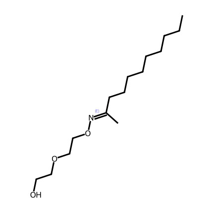 CCCCCCCCC/C(C)=N/OCCOCCO